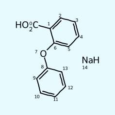 O=C(O)c1ccccc1Oc1ccccc1.[NaH]